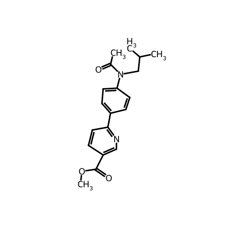 COC(=O)c1ccc(-c2ccc(N(CC(C)C)C(C)=O)cc2)nc1